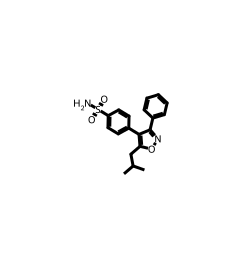 CC(C)Cc1onc(-c2ccccc2)c1-c1ccc(S(N)(=O)=O)cc1